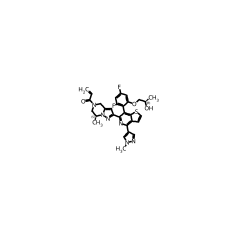 C=CC(=O)N1Cc2cc(-c3nc(-c4cnn(C)c4)c4ccsc4c3-c3c(F)cc(F)cc3OC[C@@H](C)O)nn2[C@@H](C)C1